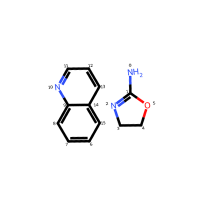 NC1=NCCO1.c1ccc2ncccc2c1